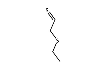 CCSCC=S